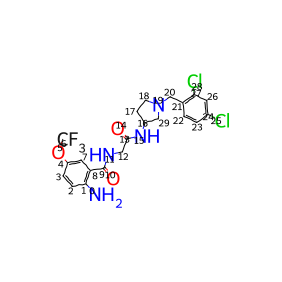 Nc1ccc(OC(F)(F)F)cc1C(=O)NCC(=O)NC1CCN(Cc2ccc(Cl)cc2Cl)C1